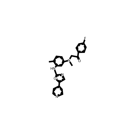 Cc1ccc(N(C)CC(=O)c2ccc(F)cc2)cc1Nc1ncc(-c2ccncc2)o1